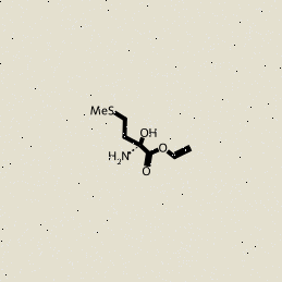 C=COC(=O)[C@](N)(O)CCSC